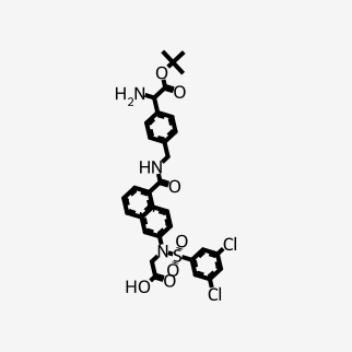 CC(C)(C)OC(=O)C(N)c1ccc(CNC(=O)c2cccc3cc(N(CC(=O)O)S(=O)(=O)c4cc(Cl)cc(Cl)c4)ccc23)cc1